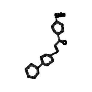 CSc1ccc(C(=O)/C=C/c2ccc(-c3ccccc3)cc2)cc1